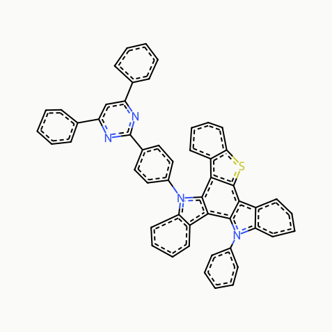 c1ccc(-c2cc(-c3ccccc3)nc(-c3ccc(-n4c5ccccc5c5c6c(c7ccccc7n6-c6ccccc6)c6sc7ccccc7c6c54)cc3)n2)cc1